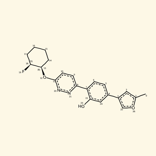 Cc1cc(-c2ccc(-c3ccc(O[C@@H]4CCCC[C@@H]4F)nn3)c(O)c2)co1